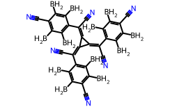 Bc1c(B)c(C(C#N)=C2C(=C(C#N)c3c(B)c(B)c(C#N)c(B)c3B)C2=C(C#N)c2c(B)c(B)c(C#N)c(B)c2B)c(B)c(B)c1C#N